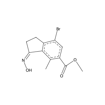 COC(=O)c1cc(Br)c2c(c1C)/C(=N\O)CC2